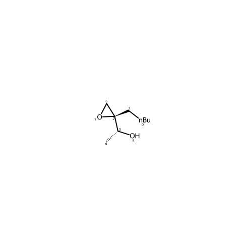 CCCCC[C@]1([C@@H](C)O)CO1